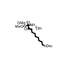 CCCCCCCCCCCCCCCCCCCC(N)(CC)[Si](OC)(OC)OC.Cl